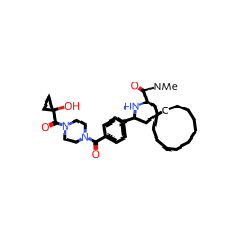 CNC(=O)C1CC2(CCCCCCCCCC2)CC(c2ccc(C(=O)N3CCN(C(=O)C4(O)CC4)CC3)cc2)N1